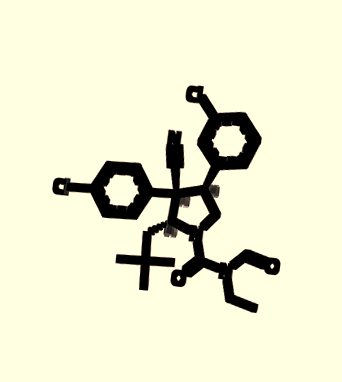 CCN(C=O)C(=O)N1C[C@H](c2cccc(Cl)c2)[C@@](C#N)(c2ccc(Cl)cc2)[C@H]1CC(C)(C)C